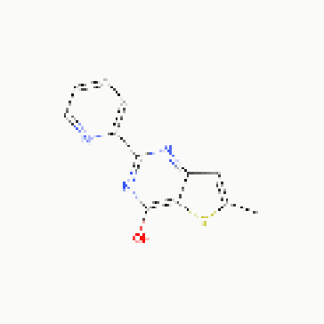 Cc1cc2nc(-c3ccccn3)nc(O)c2s1